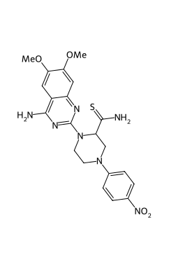 COc1cc2nc(N3CCN(c4ccc([N+](=O)[O-])cc4)CC3C(N)=S)nc(N)c2cc1OC